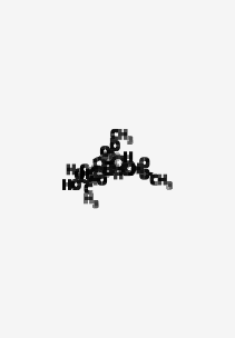 CCOC(=O)[C@@H]1CC[C@@]2(C)[C@@H](C1)C[C@H](C(=O)OCC)[C@@H]1[C@@H]2C[C@H](O)[C@]2(C)[C@@H]([C@H](C)CC(C)C(=O)O)CC[C@@H]12